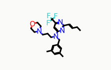 CC/C=C/c1nc(N(CCCN2CCOCC2)Cc2cc(C)cc(C)c2)cc(C(F)(F)F)n1